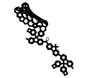 Cc1ccc2c(c1)C(c1ccc3c(c1)CC3)(c1ccc3c(c1)CC14C=c5cc6c7c5c5c1c1c8c(cc9c8c8c%10c(cc%11c%12c%13c%14c(c7c7c%14c(c%12%10)c8c1c57)=C(C6)CC%13C%11)C9)C4C3)c1cc(C(=O)c3ccc4c(c3)C(C)(C)c3cc(-c5ccc6c(c5)C(c5ccc7c(c5)CC7)(c5ccc7c(c5)CC7)c5cc(C)ccc5-6)ccc3-4)ccc1-2